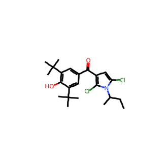 CCC(C)n1c(Cl)cc(C(=O)c2cc(C(C)(C)C)c(O)c(C(C)(C)C)c2)c1Cl